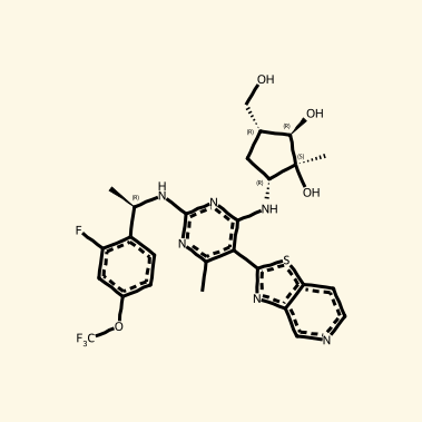 Cc1nc(N[C@H](C)c2ccc(OC(F)(F)F)cc2F)nc(N[C@@H]2C[C@H](CO)[C@@H](O)[C@@]2(C)O)c1-c1nc2cnccc2s1